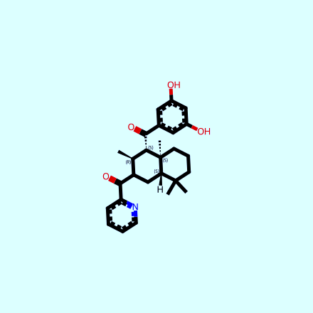 C[C@@H]1C(C(=O)c2ccccn2)C[C@H]2C(C)(C)CCC[C@]2(C)[C@H]1C(=O)c1cc(O)cc(O)c1